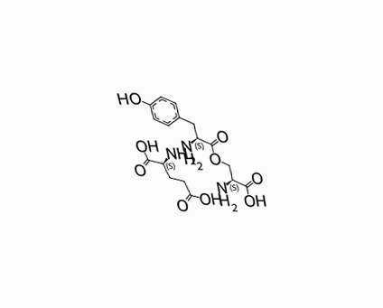 N[C@@H](CCC(=O)O)C(=O)O.N[C@@H](COC(=O)[C@@H](N)Cc1ccc(O)cc1)C(=O)O